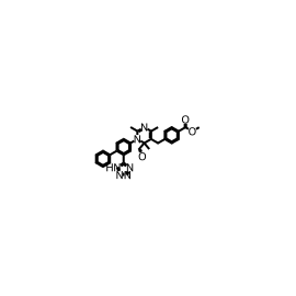 COC(=O)c1ccc(CC2=C(C)N=C(C)N(c3ccc(-c4ccccc4)c(-c4nnn[nH]4)c3)C2(C)C=O)cc1